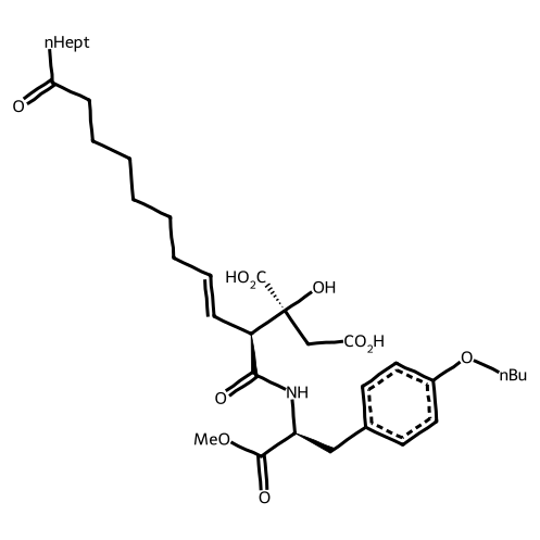 CCCCCCCC(=O)CCCCCC/C=C/[C@H](C(=O)N[C@@H](Cc1ccc(OCCCC)cc1)C(=O)OC)[C@@](O)(CC(=O)O)C(=O)O